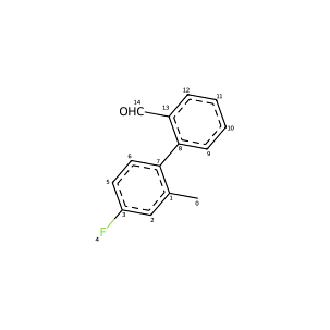 Cc1cc(F)ccc1-c1ccccc1C=O